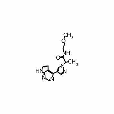 COCCNC(=O)C(C)n1cc(-c2ncnc3[nH]ccc23)cn1